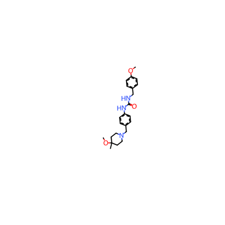 COc1ccc(CNC(=O)Nc2ccc(CN3CCC(C)(OC)CC3)cc2)cc1